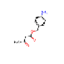 CC(=O)CC(=O)OCc1ccc(N)cc1